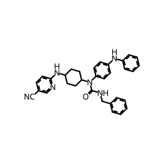 N#Cc1ccc(NC2CCC(N(C(=O)NCc3ccccc3)c3ccc(Nc4ccccc4)cc3)CC2)nc1